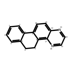 c1ccc2c(c1)CCc1c-2ccc2nccnc12